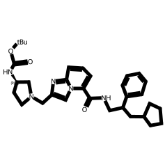 CC(C)(C)OC(=O)N[C@@H]1CCN(Cc2cn3c(C(=O)NCC(CC4CCCC4)c4ccccc4)cccc3n2)C1